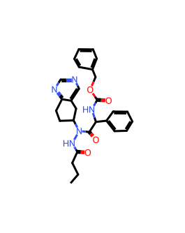 CCCC(=O)NN(C(=O)C(NC(=O)OCc1ccccc1)c1ccccc1)C1CCc2ncncc2C1